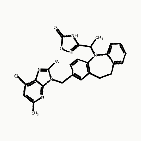 CCc1nc2c(Cl)cc(C)nc2n1Cc1ccc2c(c1)CCc1ccccc1N2C(C)c1noc(=O)[nH]1